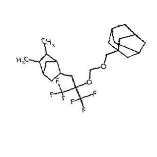 CC1C2CC(CC(OCOCC34CC5CC(CC(C5)C3)C4)(C(F)(F)F)C(F)(F)F)C(C2)C1C